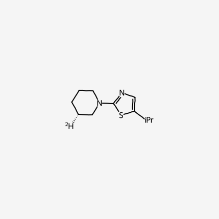 [2H][C@@H]1CCCN(c2ncc(C(C)C)s2)C1